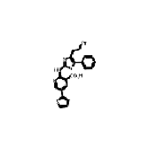 CC(C)CCc1nc(Nc2ncc(-c3cccs3)cc2C(=O)O)sc1-c1ccccc1